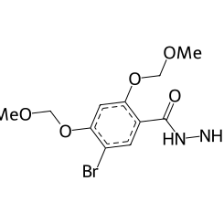 COCOc1cc(OCOC)c(C(=O)NN)cc1Br